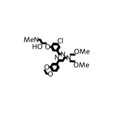 CNCC(O)COc1cc(Cl)cc(-c2nc(-c3ccc4c(c3)OCCO4)cc(N(CCOC)CCOC)n2)c1